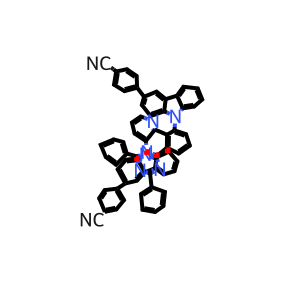 N#Cc1ccc(-c2ccc3c(c2)c2ccccc2n3-c2cccnc2-c2c(-c3nc(-c4ccccc4)nc(-c4ccccc4)n3)cccc2-n2c3ccccc3c3cc(-c4ccc(C#N)cc4)ccc32)cc1